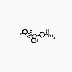 CNC1CC=C(C2CN(S(=O)(=O)c3cccc(F)c3)c3cccnc32)CC1